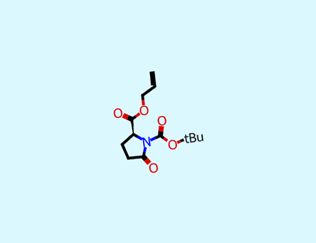 C=CCOC(=O)[C@@H]1CCC(=O)N1C(=O)OC(C)(C)C